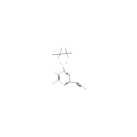 CC#Cc1cc(Cl)c(F)c(B2OC(C)(C)C(C)(C)O2)c1